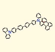 c1ccc(-c2cccc3cccc(-c4ccc(N(c5ccccc5)c5ccc(-c6ccc(-c7ccc(-c8ccc(-n9c%10ccccc%10c%10ccccc%109)cc8)cc7)cc6)cc5)cc4)c23)cc1